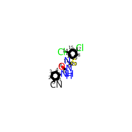 N#Cc1cccc(NC(=O)Nc2nc3c(Cl)cc(Cl)cc3s2)c1